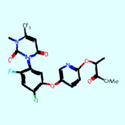 COC(=O)C(C)Oc1ccc(Oc2cc(-n3c(=O)cc(C(F)(F)F)n(C)c3=O)c(F)cc2Cl)cn1